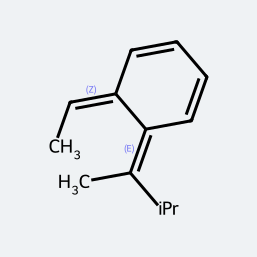 C/C=c1/cccc/c1=C(/C)C(C)C